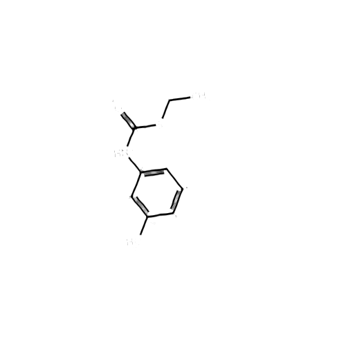 CCSC(=O)Nc1cccc(O)c1